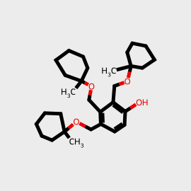 CC1(OCc2ccc(O)c(COC3(C)CCCCC3)c2COC2(C)CCCCC2)CCCCC1